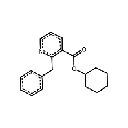 O=C(OC1CCCCC1)c1cccnc1Cc1ccccc1